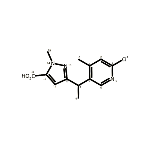 Cc1cc(Cl)ncc1C(C)c1cc(C(=O)O)n(C)n1